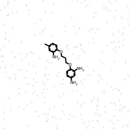 Cc1ccc(OCCCOc2ccc(N)cc2N)c(N)c1